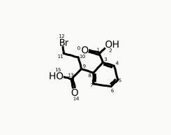 O=C(O)c1ccccc1C(CCBr)C(=O)O